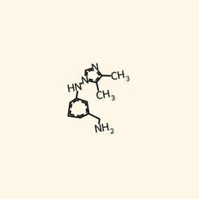 Cc1ncn(Nc2cccc(CN)c2)c1C